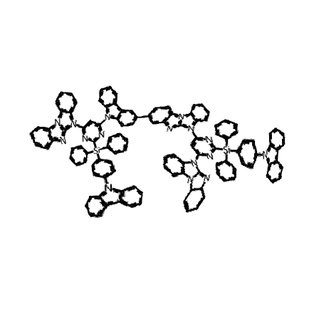 C1=CC2N=C3N(c4cc(-n5c6ccccc6n6c7ccc(-c8ccc9c(c8)c8ccccc8n9-c8cc(-n9c%10ccccc%10n%10c%11ccccc%11nc9%10)nc([Si](c9ccccc9)(c9ccccc9)c9ccc(-n%10c%11ccccc%11c%11ccccc%11%10)cc9)n8)cc7nc56)nc([Si](c5ccccc5)(c5ccccc5)c5ccc(-n6c7ccccc7c7ccccc76)cc5)n4)c4ccccc4N3C2C=C1